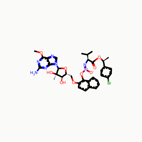 COc1nc(N)nc2c1ncn2C1O[C@H](COc2ccc3ccccc3c2O/[P+]([O-])=N/[C@H](C(=O)O[C@@H](C)c2ccc(Br)cc2)C(C)C)[C@@H](O)[C@@]1(C)O